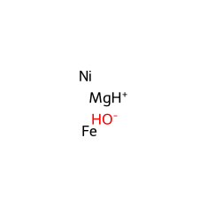 [Fe].[MgH+].[Ni].[OH-]